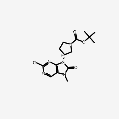 Cn1c(=O)n([C@@H]2CCN(C(=O)OC(C)(C)C)C2)c2nc(Cl)ncc21